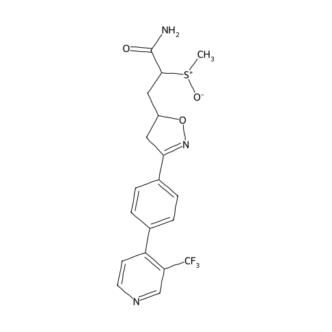 C[S+]([O-])C(CC1CC(c2ccc(-c3ccncc3C(F)(F)F)cc2)=NO1)C(N)=O